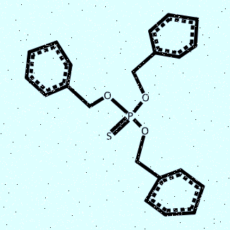 S=P(OCc1ccccc1)(OCc1ccccc1)OCc1ccccc1